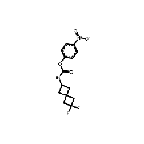 O=C(NC1CC2(C1)CC(F)(F)C2)Oc1ccc([N+](=O)[O-])cc1